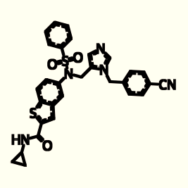 N#Cc1ccc(Cn2cncc2CN(c2ccc3sc(C(=O)NC4CC4)cc3c2)S(=O)(=O)c2ccccc2)cc1